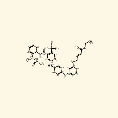 CCOC(=O)/C=C/COc1cccc(Oc2ccc(Nc3ncc(C(F)(F)F)c(NCc4cccnc4N(C)S(C)(=O)=O)n3)cc2)c1